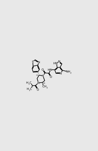 CC(C)C(=O)N1C[C@H](c2ccc3scnc3c2)N(C(=O)C(=O)Nc2cnc(N)c3cn[nH]c23)C[C@H]1C